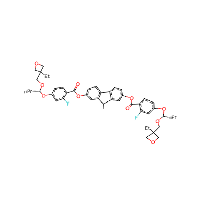 CCCC(OCC1(CC)COC1)Oc1ccc(C(=O)Oc2ccc3c(c2)C(C)c2cc(OC(=O)c4ccc(OC(CCC)OCC5(CC)COC5)cc4F)ccc2-3)c(F)c1